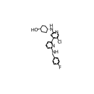 O[C@H]1CC[C@H](Nc2cc(-c3cccc(NCc4ccc(F)cc4)n3)c(Cl)cn2)CC1